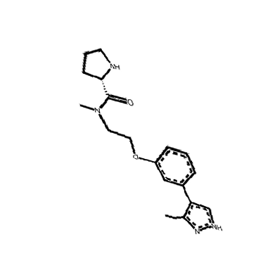 Cc1n[nH]cc1-c1c[c]cc(OCCN(C)C(=O)[C@@H]2CCCN2)c1